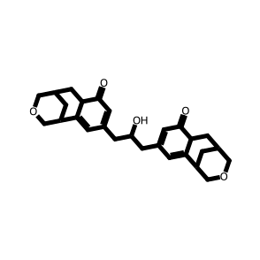 O=C1C=C(CC(O)CC2=CC(=O)C3CC4COCC(C4)C3=C2)C=C2C3COCC(C3)CC12